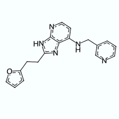 c1cncc(CNc2ccnc3[nH]c(CCc4ccco4)nc23)c1